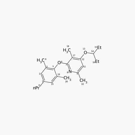 CCCc1cc(C)c(Oc2nc(C)cc(OC(CC)CC)c2C)c(C)c1